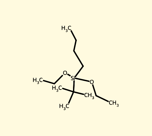 CCCC[Si](OCC)(OCC)C(C)(C)C